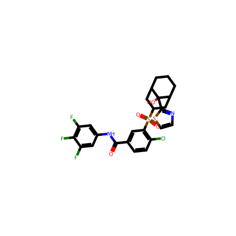 O=C(Nc1cc(F)c(F)c(F)c1)c1ccc(Cl)c(S(=O)(=O)C2CC3CCCC(C2)C3(O)c2nccs2)c1